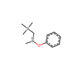 C[SiH](C[Si](C)(C)C)Oc1ccccc1